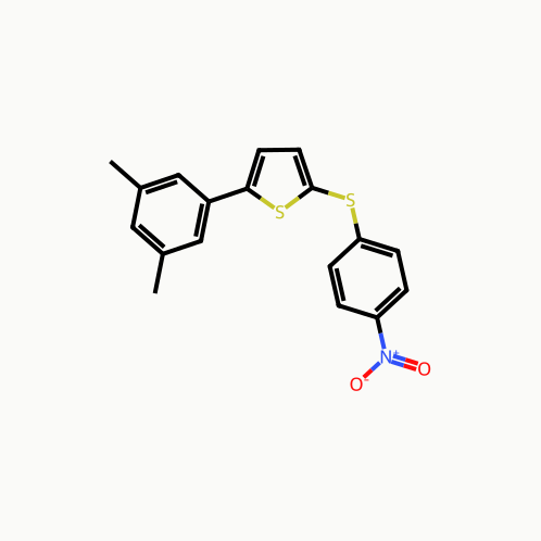 Cc1cc(C)cc(-c2ccc(Sc3ccc([N+](=O)[O-])cc3)s2)c1